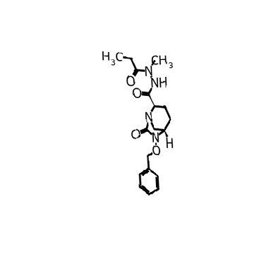 CCC(=O)N(C)NC(=O)[C@H]1CC[C@H]2CN1C(=O)N2OCc1ccccc1